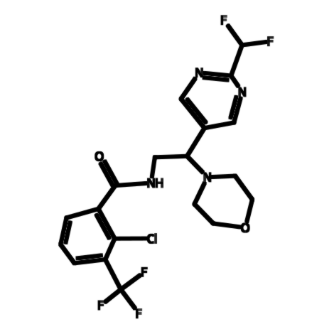 O=C(NCC(c1cnc(C(F)F)nc1)N1CCOCC1)c1cccc(C(F)(F)F)c1Cl